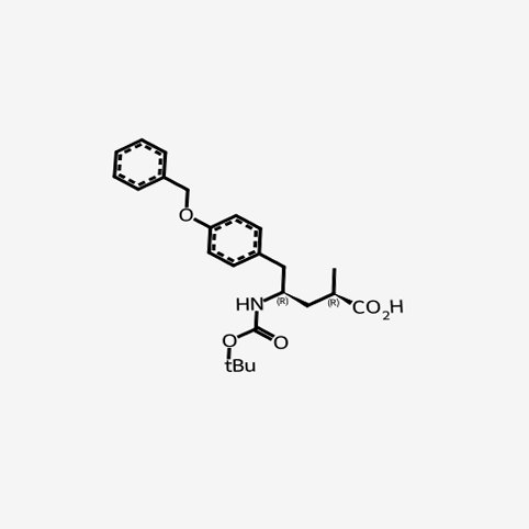 C[C@H](C[C@H](Cc1ccc(OCc2ccccc2)cc1)NC(=O)OC(C)(C)C)C(=O)O